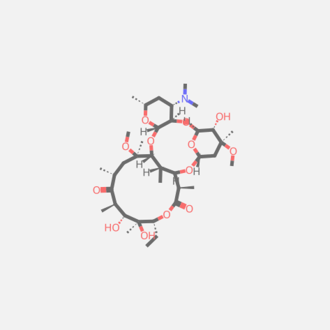 CC[C@H]1OC(=O)[C@H](C)[C@H]2O[C@H]3C[C@](C)(OC)[C@@H](O)[C@@H](O3)O[C@H]3[C@@H](O[C@H](C)C[C@@H]3N(C)C)O[C@H]([C@H]2C)[C@](C)(OC)C[C@@H](C)C(=O)[C@H](C)[C@@H](O)[C@]1(C)O